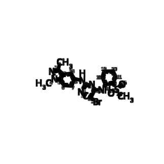 Cc1nn(C)c2ccc(Nc3ncc(Br)c(Nc4ccccc4S(C)(=O)=O)n3)cc12